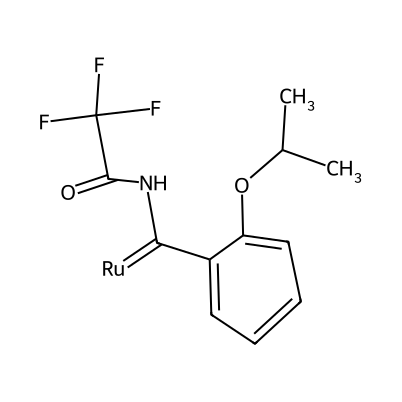 CC(C)Oc1ccccc1[C](=[Ru])NC(=O)C(F)(F)F